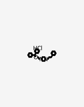 C(=Cc1ccccc1)CN1CCN(CCOC(c2ccccc2)c2ccccc2)CC1.Cl